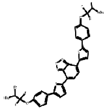 CCCCC(C)C(F)(F)Oc1ccc(-c2ccc(-c3ccc(-c4ccc(-c5ccc(OC(F)(F)C(CC)CCCC)cc5)s4)c4nsnc34)s2)cc1